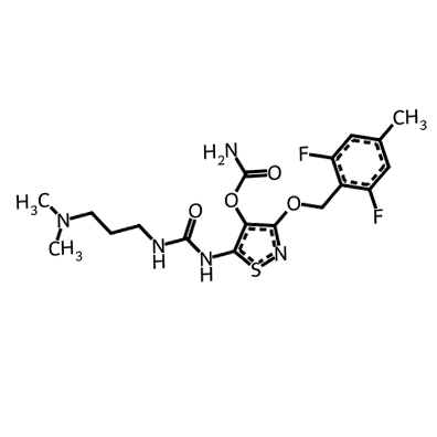 Cc1cc(F)c(COc2nsc(NC(=O)NCCCN(C)C)c2OC(N)=O)c(F)c1